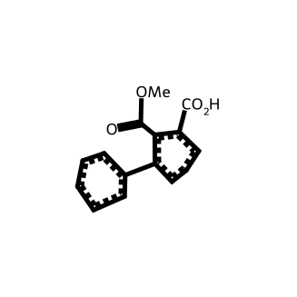 COC(=O)c1c(C(=O)O)cccc1-c1ccccc1